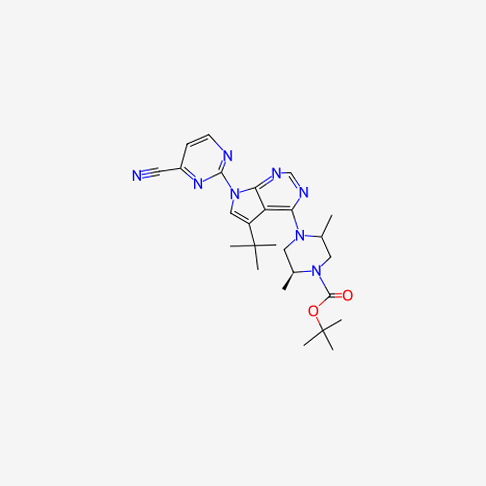 CC1CN(C(=O)OC(C)(C)C)[C@@H](C)CN1c1ncnc2c1c(C(C)(C)C)cn2-c1nccc(C#N)n1